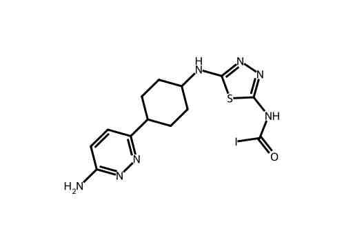 Nc1ccc(C2CCC(Nc3nnc(NC(=O)I)s3)CC2)nn1